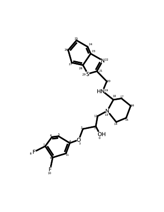 OC(COc1ccc(F)c(F)c1)CN1CCCCC1NCc1nc2ccccc2s1